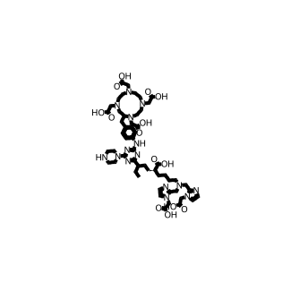 CCC(CC[C@@H](CCCCN(Cc1nccn1CC(=O)O)Cc1nccn1CC(=O)O)C(=O)O)c1nc(Nc2ccc(CC3CN(CC(=O)O)CCN(CC(=O)O)CCN(CC(=O)O)CCN3CC(=O)O)cc2)nc(N2CCNCC2)n1